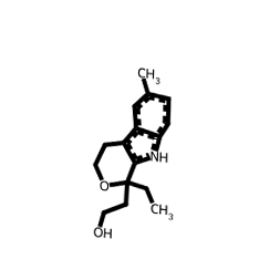 CCC1(CCO)OCCc2c1[nH]c1ccc(C)cc21